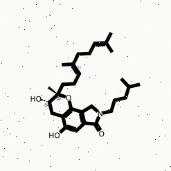 CC(C)=CCC/C(C)=C/CC[C@]1(C)Oc2c(c(O)cc3c2CN(CCCC(C)C)C3=O)C[C@@H]1O